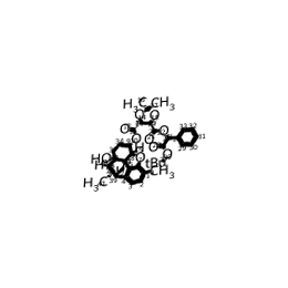 Cc1ccc2c3c1O[C@H]1C(OC(=O)[C@@H]4OC(C)(C)O[C@H]4C(=O)O[C@H](C(=O)OC(C)(C)C)c4ccccc4)=CC[C@@]4(O)[C@@H](C2)N(C)CC[C@]314